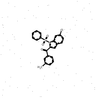 Cc1cccc(C(=O)c2cc3ccc(Cl)cc3n2S(=O)(=O)c2ccccc2)c1